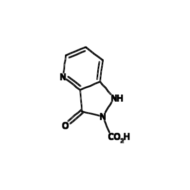 O=C(O)n1[nH]c2cccnc2c1=O